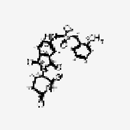 Cc1ccccc1CS(=O)(=O)Nc1ccc2c(c1)C(=O)N(C1CCC(=O)NC1=O)C2=O